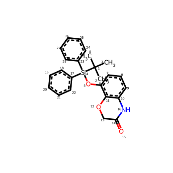 CC(C)(C)[Si](Oc1cccc2c1OCC(=O)N2)(c1ccccc1)c1ccccc1